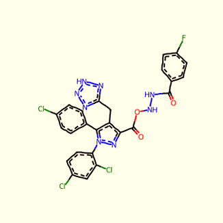 O=C(NNOC(=O)c1nn(-c2ccc(Cl)cc2Cl)c(-c2ccc(Cl)cc2)c1Cc1nn[nH]n1)c1ccc(F)cc1